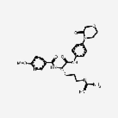 COc1ccc(C(=O)N[C@@H](CCCNC(=N)N)C(=O)Nc2ccc(N3CCOCC3=O)cc2)cn1